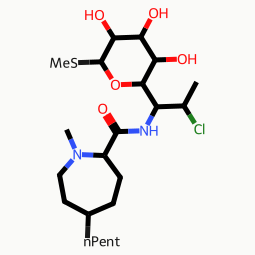 CCCCCC1CCC(C(=O)NC(C(C)Cl)C2OC(SC)C(O)C(O)C2O)N(C)CC1